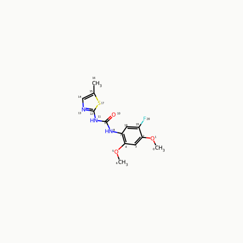 COc1cc(OC)c(NC(=O)Nc2ncc(C)s2)cc1F